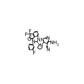 N#Cc1c(N)ncnc1N1CCC[C@H]1c1nc2cccc(C(F)(F)F)c2c(=O)n1-c1cccc(F)c1